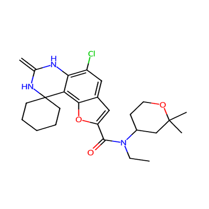 C=C1Nc2c(Cl)cc3cc(C(=O)N(CC)C4CCOC(C)(C)C4)oc3c2C2(CCCCC2)N1